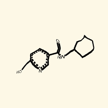 O=C(NC1CCCCC1)c1ccc(O)nc1